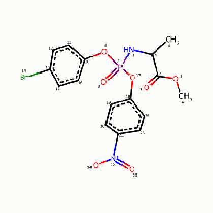 COC(=O)C(C)NP(=O)(Oc1ccc(Br)cc1)Oc1ccc([N+](=O)[O-])cc1